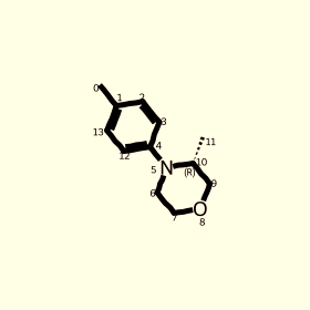 Cc1ccc(N2CCOC[C@H]2C)cc1